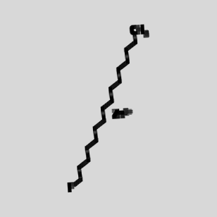 CCCCCCCCCCCCCCCCF.[Zn+2]